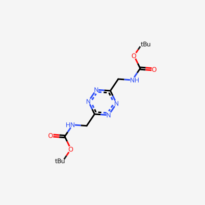 CC(C)(C)OC(=O)NCc1nnc(CNC(=O)OC(C)(C)C)nn1